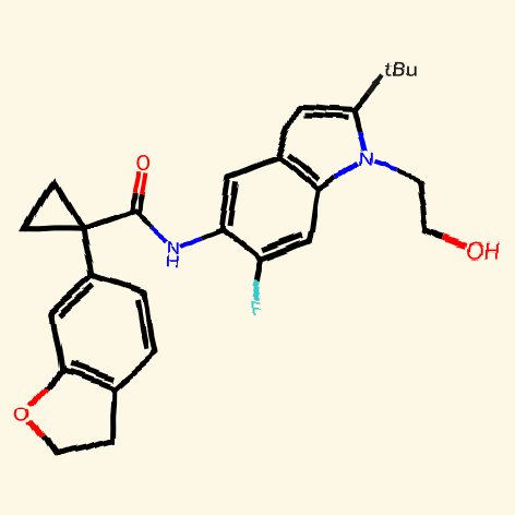 CC(C)(C)c1cc2cc(NC(=O)C3(c4ccc5c(c4)OCC5)CC3)c(F)cc2n1CCO